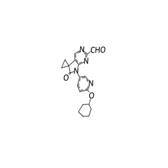 O=Cc1ncc2c(n1)N(c1ccc(OC3CCCCC3)nc1)C(=O)C21CC1